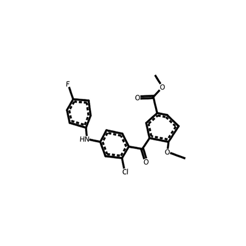 COC(=O)c1ccc(OC)c(C(=O)c2ccc(Nc3ccc(F)cc3)cc2Cl)c1